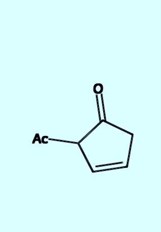 CC(=O)C1C=CCC1=O